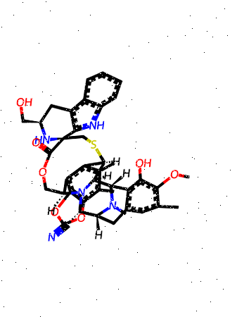 COc1c(C)cc2c(c1O)[C@H]1[C@@H]3[C@@H]4SC[C@]5(N[C@@H](CO)Cc6c5[nH]c5ccccc65)C(=O)OC[C@@H](c5c6c(c(C)c(C)c54)OCO6)N3[C@@H](C#N)[C@@H](C2)N1C